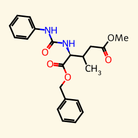 COC(=O)CC(C)[C@H](NC(=O)Nc1ccccc1)C(=O)OCc1ccccc1